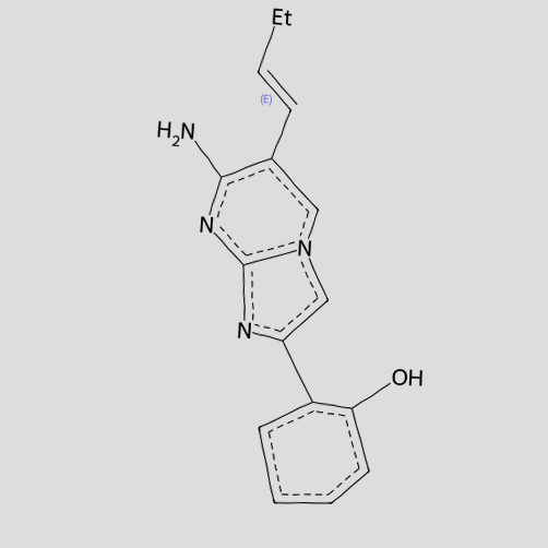 CC/C=C/c1cn2cc(-c3ccccc3O)nc2nc1N